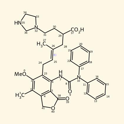 COc1c(C)c2c(c(NC(=O)N(c3ccccc3)c3ccccc3)c1C/C=C(\C)CC(CCN1CCNC1)C(=O)O)C(=O)OC2